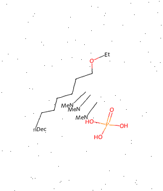 CCCCCCCCCCCCCCCCOCC.CNC.CNC.CNC.O=P(O)(O)O